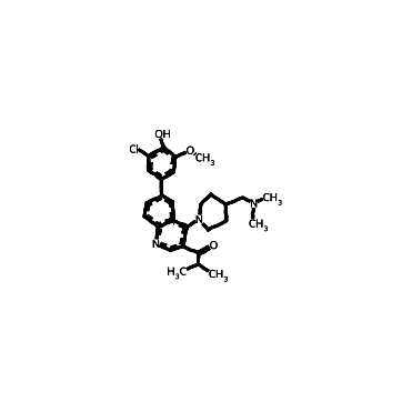 COc1cc(-c2ccc3ncc(C(=O)C(C)C)c(N4CCC(CN(C)C)CC4)c3c2)cc(Cl)c1O